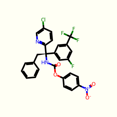 O=C(N[C@@](Cc1ccccc1)(c1cc(F)cc(C(F)(F)F)c1)c1ccc(Cl)cn1)Oc1ccc([N+](=O)[O-])cc1